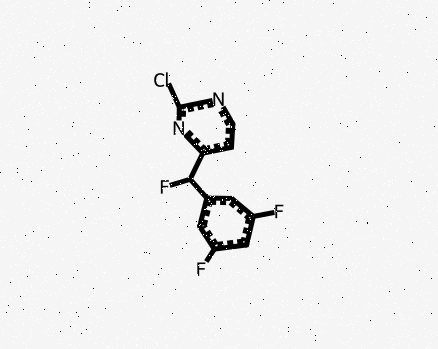 Fc1cc(F)cc(C(F)c2ccnc(Cl)n2)c1